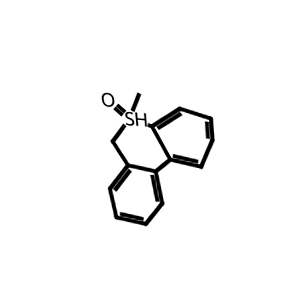 C[SH]1(=O)Cc2ccccc2-c2ccccc21